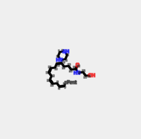 C1CNCCN1.CCCCC/C=C\C/C=C\C/C=C\C/C=C\CCCC(=O)NCCO